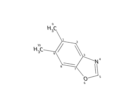 Cc1cc2ncoc2cc1C